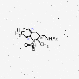 C/C=C1/C[C@@H](CNC(C)=O)[C@@H](C)N([SH](=O)=O)/C1=C/C